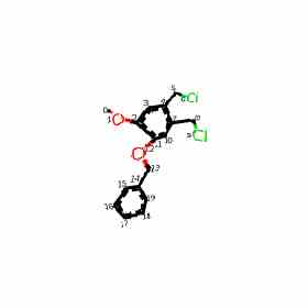 COc1cc(CCl)c(CCl)cc1OCc1ccccc1